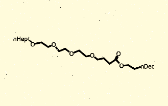 CCCCCCCCCCCCOC(=O)CCCOCCOCCOCCOCCCCCCC